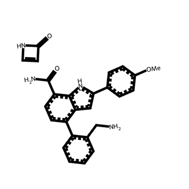 COc1ccc(-c2cc3c(-c4ccccc4CN)ccc(C(N)=O)c3[nH]2)cc1.O=C1C=CN1